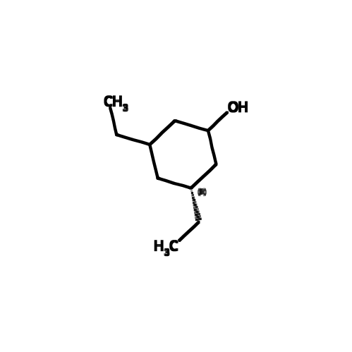 CCC1CC(O)C[C@H](CC)C1